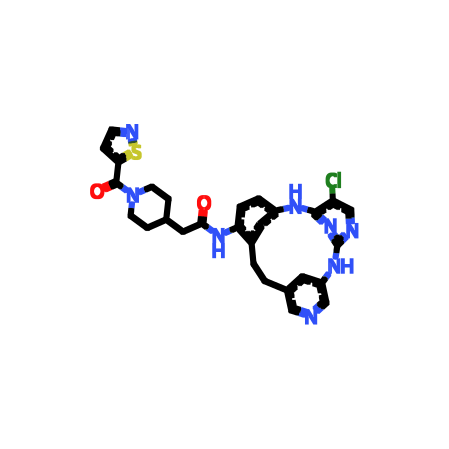 O=C(CC1CCN(C(=O)c2ccns2)CC1)Nc1ccc2cc1CCc1cncc(c1)Nc1ncc(Cl)c(n1)N2